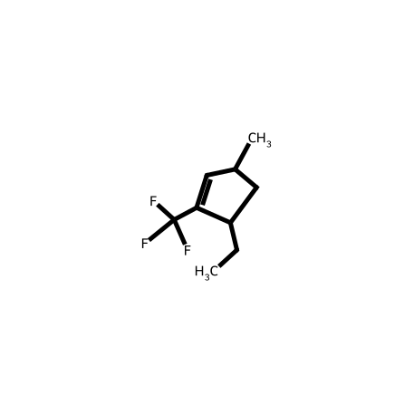 CCC1CC(C)C=C1C(F)(F)F